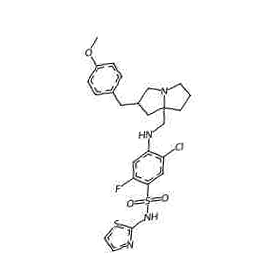 COc1ccc(CC2CN3CCCC3(CNc3cc(F)c(S(=O)(=O)Nc4nccs4)cc3Cl)C2)cc1